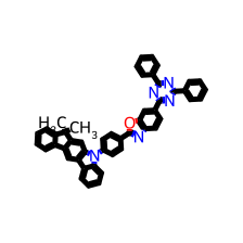 CC1(C)c2ccccc2-c2cc3c4ccccc4n(-c4ccc(-c5nc6ccc(-c7nc(-c8ccccc8)nc(-c8ccccc8)n7)cc6o5)cc4)c3cc21